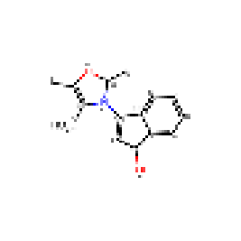 CC1=C(C(=O)O)N(C2=CC(O)c3ccccc32)C(C)O1